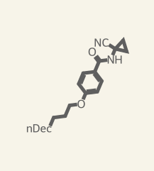 CCCCCCCCCCCCCOc1ccc(C(=O)NC2(C#N)CC2)cc1